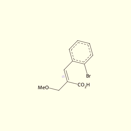 COC/C(=C/c1ccccc1Br)C(=O)O